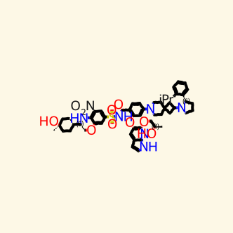 CC(C)c1ccccc1[C@@H]1CCCN1C1CC2(CCN(c3ccc(C(=O)NS(=O)(=O)c4cc5c(c([N+](=O)[O-])c4)N[C@@H]([C@H]4CC[C@](C)(O)CC4)CO5)c(Oc4cc5cc[nH]c5nc4OC[C@@H](C)O)c3)CC2)C1